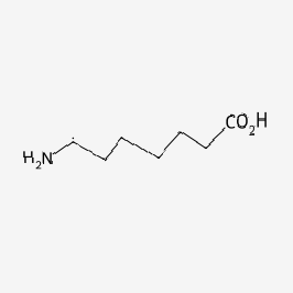 N[CH]CCCCCC(=O)O